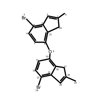 CC1=Cc2c(Br)ccc(Oc3ccc(Br)c4c3CC(C)=C4)c2C1